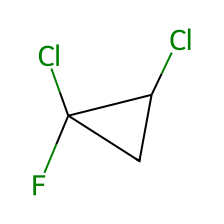 FC1(Cl)CC1Cl